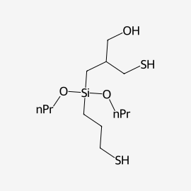 CCCO[Si](CCCS)(CC(CO)CS)OCCC